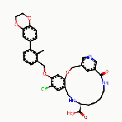 Cc1c(COc2cc3c(cc2Cl)CN[C@H](C(=O)O)CCCCNC(=O)c2cncc(c2)CO3)cccc1-c1ccc2c(c1)OCCO2